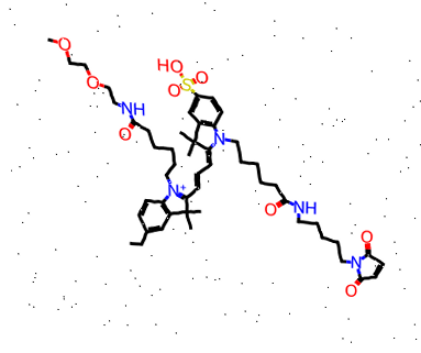 CCc1ccc2c(c1)C(C)(C)C(C=CC=C1N(CCCCCC(=O)NCCCCCN3C(=O)C=CC3=O)c3ccc(S(=O)(=O)O)cc3C1(C)C)=[N+]2CCCCCC(=O)NCCOCCOC